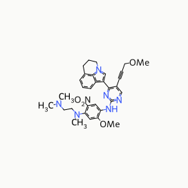 COCC#Cc1cnc(Nc2cc([N+](=O)[O-])c(N(C)CCN(C)C)cc2OC)nc1-c1cn2c3c(cccc13)CCC2